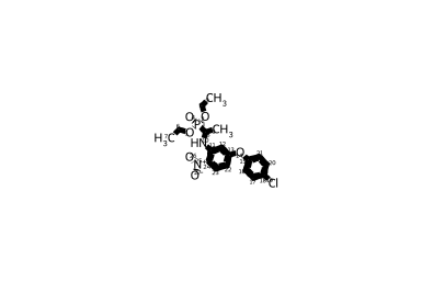 CCOP(=O)(OCC)C(C)Nc1cc(Oc2ccc(Cl)cc2)ccc1[N+](=O)[O-]